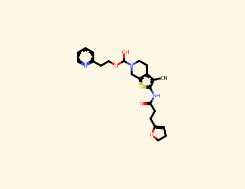 N#Cc1c(NC(=O)CCC2=CCCO2)sc2c1CCN(C(O)OCCc1ccccn1)C2